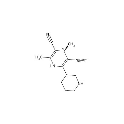 [C-]#[N+]C1=C(C2CCCNC2)NC(C)=C(C#N)[C@H]1C